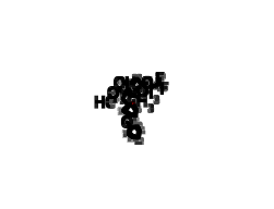 C#C[C@@H](c1cccc(Oc2ccccc2)c1)[C@]1(C(=O)O)[C@@H](/C=C\C(=O)OCC(F)F)C1(C)C